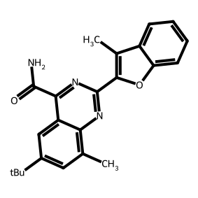 Cc1c(-c2nc(C(N)=O)c3cc(C(C)(C)C)cc(C)c3n2)oc2ccccc12